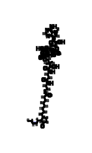 CC/C=C\C[C@@H]1C(=O)CC[C@@H]1CCCCCCCC(=O)SCCNC(=O)CCNC(=O)[C@H](O)C(C)(C)COP(=O)(O)OP(=O)(O)OC[C@H]1O[C@@H](n2cnc3c(N)ncnc32)[C@H](O)[C@@H]1OP(=O)(O)O